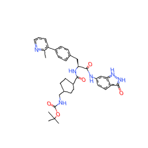 Cc1ncccc1-c1ccc(C[C@H](NC(=O)C2CCC(CNC(=O)OC(C)(C)C)CC2)C(=O)Nc2ccc3c(=O)[nH][nH]c3c2)cc1